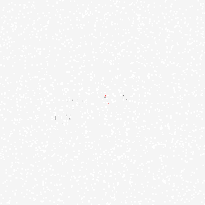 C[C@@H](C1CC1)N1CCC23CC(=O)CCC2C1Cc1ccc(C(N)=O)cc13